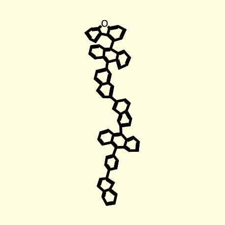 c1ccc2cc(-c3ccc(-c4c5ccccc5c(-c5ccc6ccc(-c7ccc8ccc(-c9c%10ccccc%10c(-c%10cccc%11oc%12ccccc%12c%10%11)c%10ccccc9%10)cc8c7)cc6c5)c5ccccc45)cc3)ccc2c1